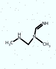 CNCN(C)C=N